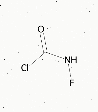 O=C(Cl)NF